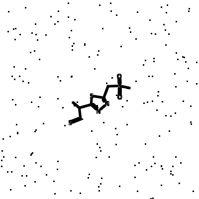 CC([C]=S)c1nnc(CS(C)(=O)=O)s1